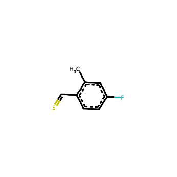 Cc1cc(F)ccc1C=S